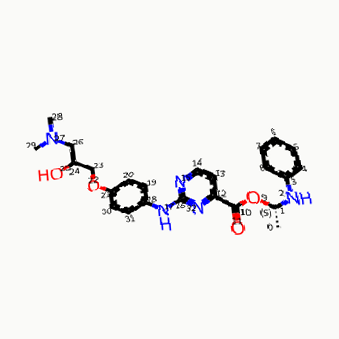 C[C@@H](Nc1ccccc1)OC(=O)c1ccnc(Nc2ccc(OCC(O)CN(C)C)cc2)n1